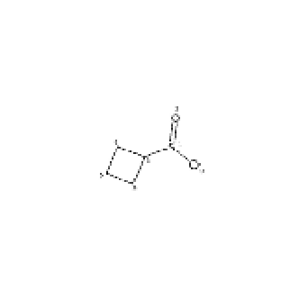 [O]S(=O)C1CCC1